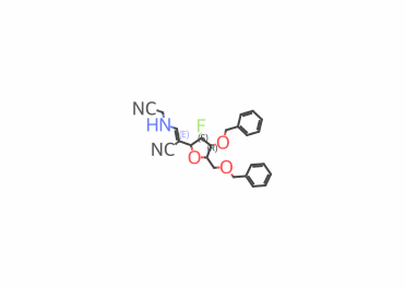 N#CCN/C=C(\C#N)C1OC(COCc2ccccc2)[C@@H](OCc2ccccc2)[C@H]1F